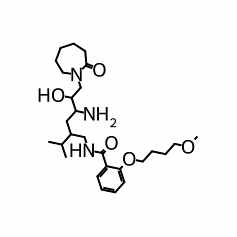 COCCCCOc1ccccc1C(=O)NCC(CC(N)C(O)CN1CCCCCC1=O)C(C)C